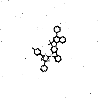 CC1C=CC(c2nc(-c3ccccc3)nc(-n3c4ccccc4c4cc5c(cc43)C(C)(C)c3cc(-c4ccccc4)c4ccccc4c3-5)n2)=CC1